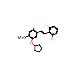 COc1cc(F)c(C=Cc2c(F)cccc2F)cc1OC1CCCC1